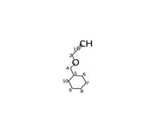 C#CCOCC1CCCCC1